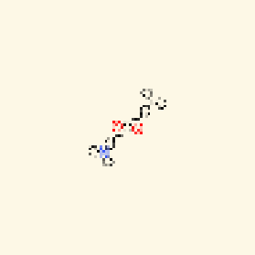 COc1cc(/C=C/c2ccc(N(c3ccccc3)c3ccccc3)cc2)c(OC)cc1/C=C/c1ccc(C(c2ccccc2)c2ccccc2)cc1